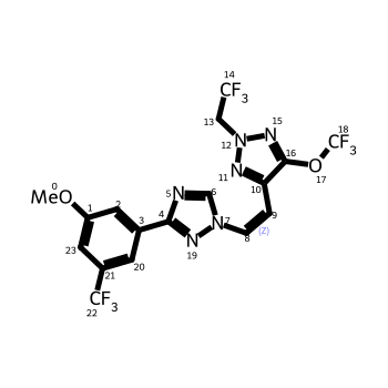 COc1cc(-c2ncn(/C=C\c3nn(CC(F)(F)F)nc3OC(F)(F)F)n2)cc(C(F)(F)F)c1